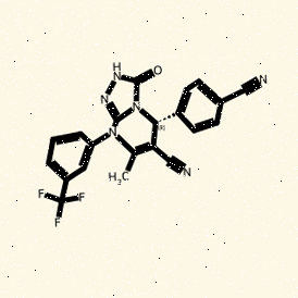 CC1=C(C#N)[C@@H](c2ccc(C#N)cc2)n2c(n[nH]c2=O)N1c1cccc(C(F)(F)F)c1